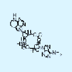 Nc1ncnc2c1ncn2[C@@H]1O[C@@H]2COP(=O)(S)O[C@H]3C[C@H](n4cc5c6c(ncnc64)NCCC5)O[C@@H]3COC(=O)O[C@@H]1C2